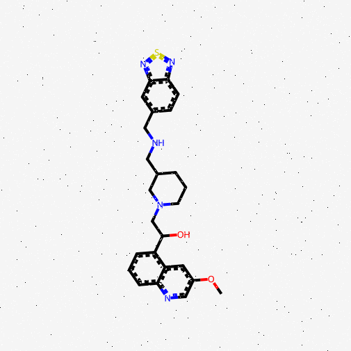 COc1cnc2cccc(C(O)CN3CCCC(CNCc4ccc5nsnc5c4)C3)c2c1